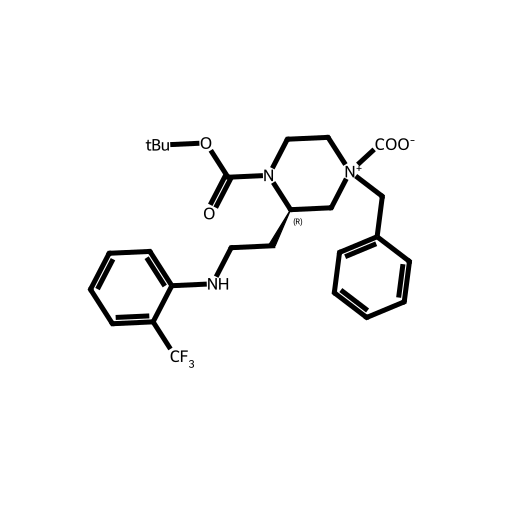 CC(C)(C)OC(=O)N1CC[N+](Cc2ccccc2)(C(=O)[O-])C[C@H]1CCNc1ccccc1C(F)(F)F